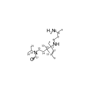 CC=CC(C)(NCCC(C)N)C(C)(C)CCN(C=O)C(C)C